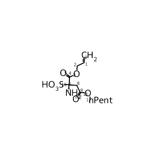 C=CCOC(=O)C(N)(CC(=O)OCCCCC)S(=O)(=O)O